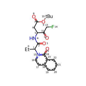 CCC(C(=O)NC(CC(=O)OC(C)(C)C)C(=O)CF)n1ccc2ccccc2c1=O